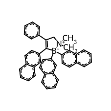 C[N+]1(C)CC(c2ccccc2)=C(c2ccc3ccccc3c2)[B-]1(c1ccc2ccccc2c1)c1ccc2ccccc2c1